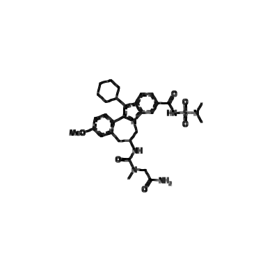 COc1ccc2c(c1)CC(NC(=O)N(C)CC(N)=O)Cn1c-2c(C2CCCCC2)c2ccc(C(=O)NS(=O)(=O)N(C)C)cc21